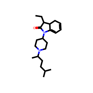 CCC1C(=O)N(C2CCN(C(C)CCC(C)C)CC2)C2=CC=CCC21